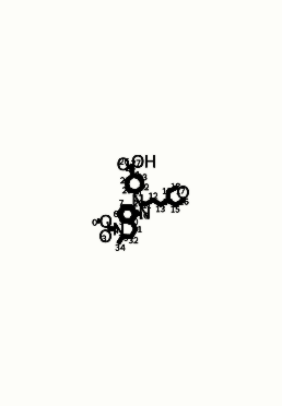 COC(=O)N1c2ccc3c(nc(CCC4CCOCC4)n3C3CCC(C(=O)O)CC3)c2CCC1C